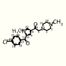 CN1CCN(CC(=O)c2cc(C(=O)c3ccc(Cl)cc3)n(C)c2)CC1